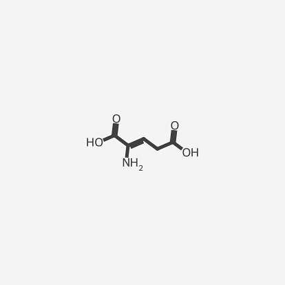 N/C(=C\CC(=O)O)C(=O)O